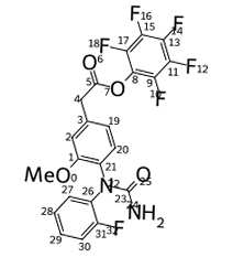 COc1cc(CC(=O)Oc2c(F)c(F)c(F)c(F)c2F)ccc1N(C(N)=O)c1ccccc1F